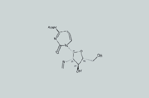 C=N[C@H]1[C@H](O)[C@@H](CO)O[C@H]1n1ccc(NC(C)=O)nc1=O